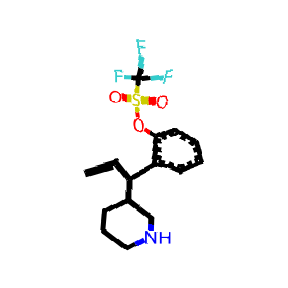 C=CC(c1ccccc1OS(=O)(=O)C(F)(F)F)C1CCCNC1